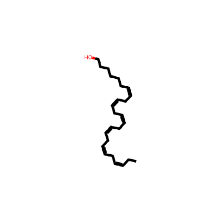 CC/C=C\C/C=C\C/C=C\C/C=C\C/C=C\C/C=C\CCCCCCO